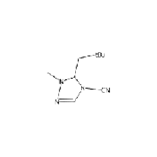 CN1N=CN(C#N)C1CC(C)(C)C